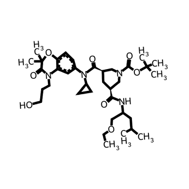 CCOCC(CC(C)C)NC(=O)[C@H]1C[C@@H](C(=O)N(c2ccc3c(c2)N(CCCO)C(=O)C(C)(C)O3)C2CC2)CN(C(=O)OC(C)(C)C)C1